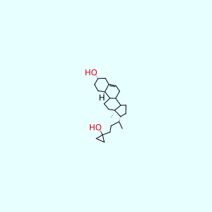 CC(CCC1(O)CC1)[C@H]1CCC2C3CC=C4C[C@@H](O)CC[C@@H]4C3CC[C@@]21C